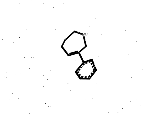 C1=C(c2ccccc2)CNCCC1